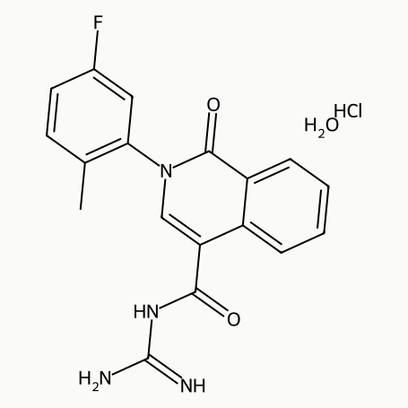 Cc1ccc(F)cc1-n1cc(C(=O)NC(=N)N)c2ccccc2c1=O.Cl.O